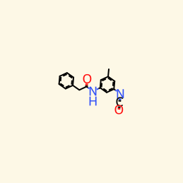 Cc1cc(N=C=O)cc(NC(=O)Cc2ccccc2)c1